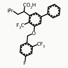 CC(C)CC(C(=O)O)c1cc(-c2ccccc2)cc(OCc2ccc(F)cc2C(F)(F)F)c1C(F)(F)F